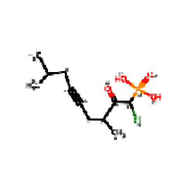 CC(C)CC#CCC(C)C(=O)C(Cl)P(=O)(O)O